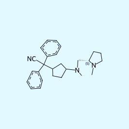 CN(C[C@@H]1CCCN1C)C1CCC(C(C#N)(c2ccccc2)c2ccccc2)C1